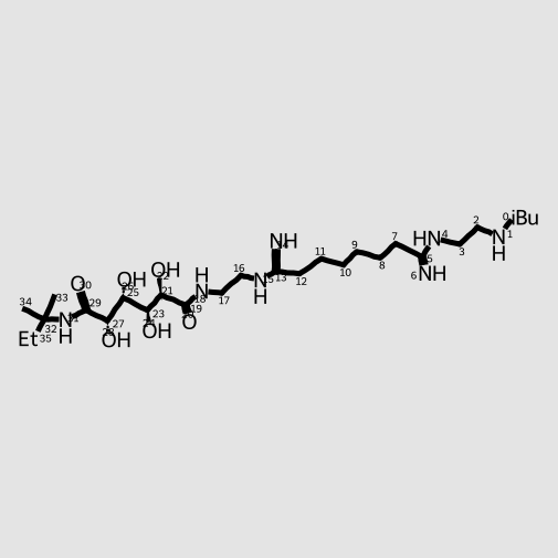 CCC(C)NCCNC(=N)CCCCCCC(=N)NCCNC(=O)[C@H](O)[C@@H](O)[C@@H](O)[C@H](O)C(=O)NC(C)(C)CC